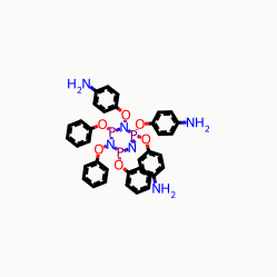 Nc1ccc(ON2P(Oc3ccccc3)N(Oc3ccccc3)P(Oc3ccccc3)N=P2(Oc2ccc(N)cc2)Oc2ccc(N)cc2)cc1